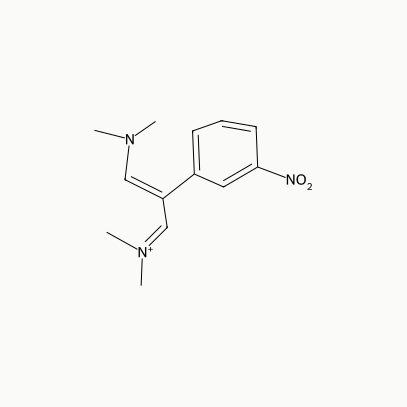 CN(C)/C=C(/C=[N+](C)C)c1cccc([N+](=O)[O-])c1